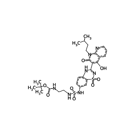 CC(C)CCn1c(=O)c(C2=NS(=O)(=O)c3cc(NS(=O)(=O)NCCNC(=O)OC(C)(C)C)ccc3N2)c(O)c2cccnc21